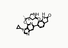 C[C@@H](Oc1nc(-c2ccc3c(c2)NC(=O)C3)cc2ncn(C3CC3)c12)[C@H]1CNC(=O)C1